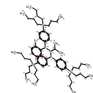 CCCC[Si](CCCC)(CCCC)c1ccc(P(c2ccc([Si](CCCC)(CCCC)CCCC)cc2)N(C(C)C)P(c2ccc([Si](CCCC)(CCCC)CCCC)cc2)c2ccccc2F)cc1